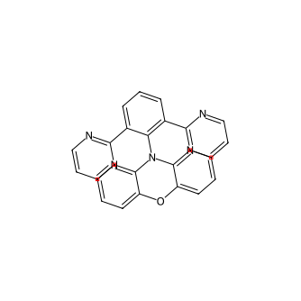 c1cnc(-c2cccc(-c3ncccn3)c2N2c3ccccc3Oc3ccccc32)nc1